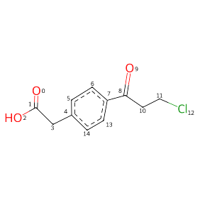 O=C(O)Cc1ccc(C(=O)CCCl)cc1